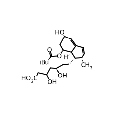 CC[C@H](C)C(=O)O[C@H]1C[C@H](O)C=C2C=C[C@H](C)[C@H](CC[C@@H](O)CC(O)CC(=O)O)[C@H]21